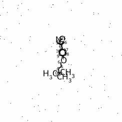 CC(C)(C)CCCOc1ccc(-c2cnoc2)cc1